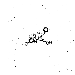 O=C(N[C@@H](CCCCO)c1nc2cc(Cl)cc(Cl)c2[nH]1)OCc1ccccc1